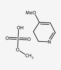 COC1=CC=NCC1.COS(=O)(=O)O